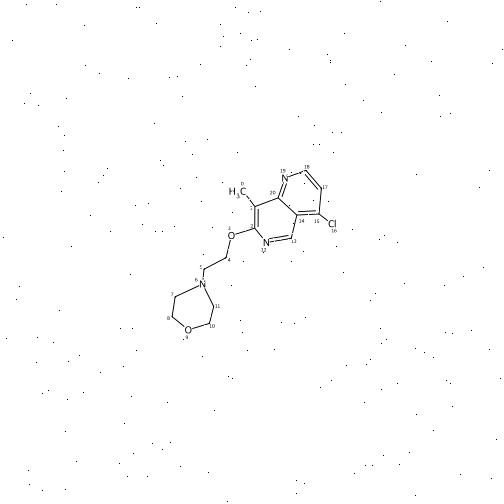 Cc1c(OCCN2CCOCC2)ncc2c(Cl)ccnc12